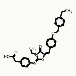 CCc1ccc(COc2ccc(C=C3SC(=Nc4ccc(CC(=O)O)cc4)N(CC)C3=O)cc2)cc1